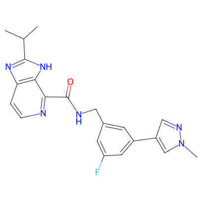 CC(C)c1nc2ccnc(C(=O)NCc3cc(F)cc(-c4cnn(C)c4)c3)c2[nH]1